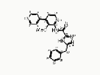 COc1c(-c2ccncc2)ccnc1NC(=O)c1nnc(Cc2ccccc2)[nH]1